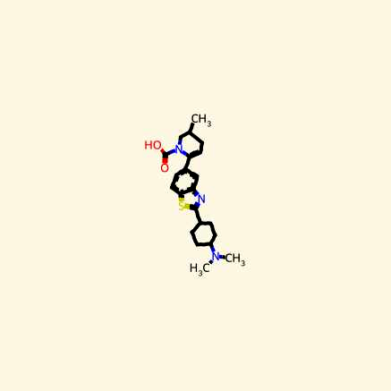 CC1CC=C(c2ccc3sc(C4CCC(N(C)C)CC4)nc3c2)N(C(=O)O)C1